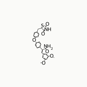 COc1cc(C=C(C(N)=O)c2ccc(Oc3ccc(CC4SC(=O)NC4=O)cc3)cc2)cc(OC)c1